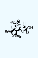 O=P(O)(O)OC(OP(=O)(O)O)c1cc(Br)sc1Br